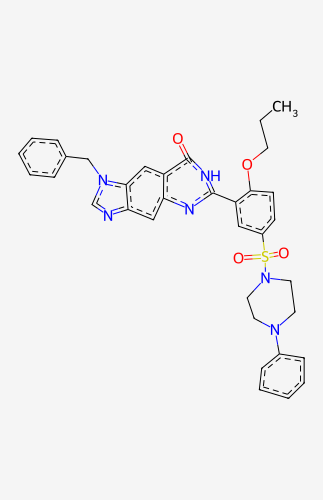 CCCOc1ccc(S(=O)(=O)N2CCN(c3ccccc3)CC2)cc1-c1nc2cc3ncn(Cc4ccccc4)c3cc2c(=O)[nH]1